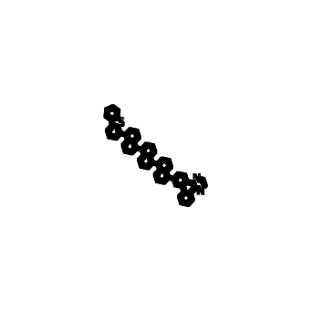 c1ccc2c(c1)sc1c(-c3cccc4c(-c5cccc6c(-c7cccc8c(-c9ccc%10c(c9)c9ccccc9c9nccnc%109)cccc78)cccc56)cccc34)cccc12